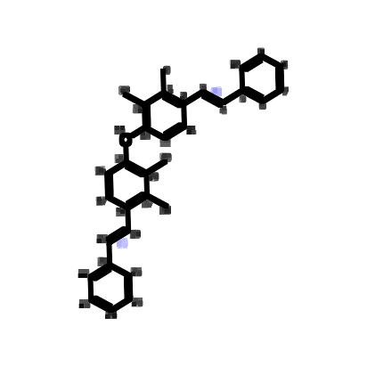 Cc1c(/C=C/c2ccccc2)ccc(Oc2ccc(/C=C/c3ccccc3)c(C)c2C)c1C